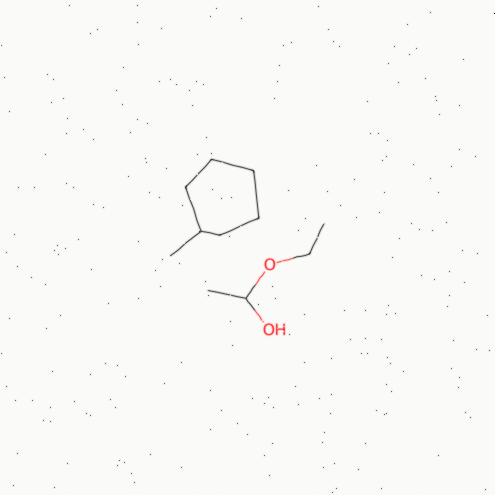 CC1CCCCC1.CCOC(C)O